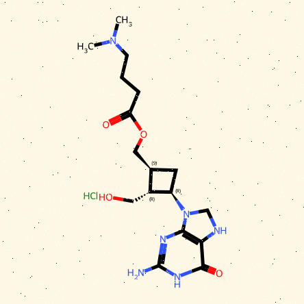 CN(C)CCCC(=O)OC[C@H]1C[C@@H](N2CNc3c2nc(N)[nH]c3=O)[C@@H]1CO.Cl